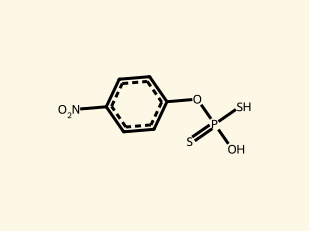 O=[N+]([O-])c1ccc(OP(O)(=S)S)cc1